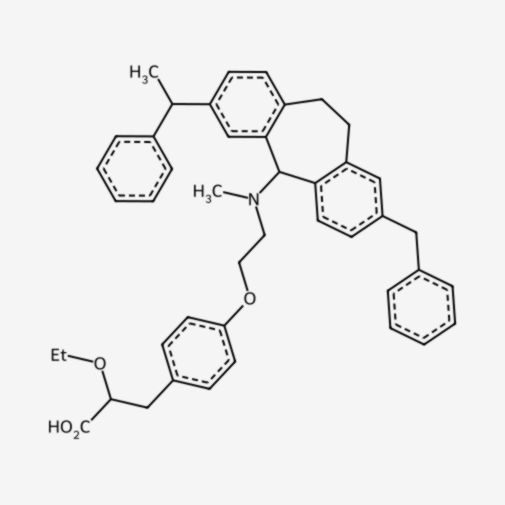 CCOC(Cc1ccc(OCCN(C)C2c3ccc(Cc4ccccc4)cc3CCc3ccc(C(C)c4ccccc4)cc32)cc1)C(=O)O